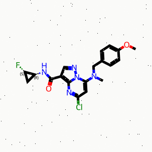 COc1ccc(CN(C)c2cc(Cl)nc3c(C(=O)N[C@@H]4C[C@@H]4F)cnn23)cc1